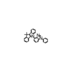 CC1(C)c2ccccc2-c2c1c1ccccc1n2-c1cccc2c1ncn2-c1ccccc1